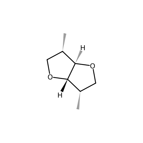 C[C@H]1CO[C@H]2[C@H]1OC[C@@H]2C